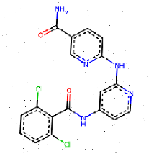 NC(=O)c1ccc(Nc2cc(NC(=O)c3c(Cl)cccc3Cl)ccn2)nc1